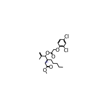 C=C(C)C(OC(=O)COc1ccc(Cl)cc1Cl)/C(=C/C(=O)OC)CCCCC